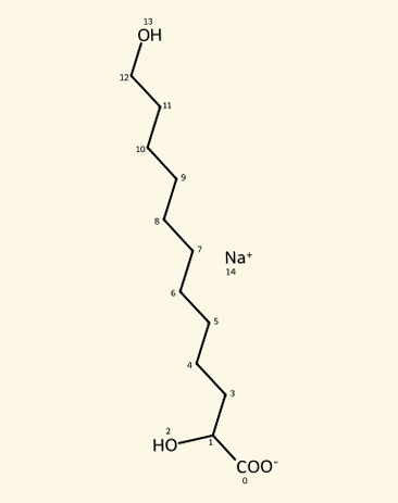 O=C([O-])C(O)CCCCCCCCCCO.[Na+]